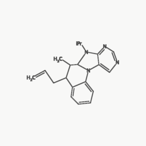 C=CCC1c2ccccc2N2c3cncnc3N(C(C)C)C2C1C